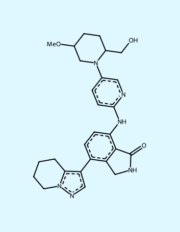 COC1CCC(CO)N(c2ccc(Nc3ccc(-c4cnn5c4CCCC5)c4c3C(=O)NC4)nc2)C1